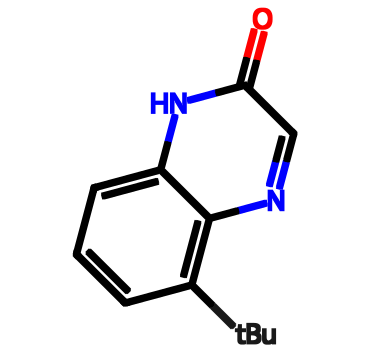 CC(C)(C)c1cccc2[nH]c(=O)cnc12